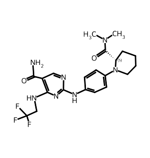 CN(C)C(=O)[C@@H]1CCCCN1c1ccc(Nc2ncc(C(N)=O)c(NCC(F)(F)F)n2)cc1